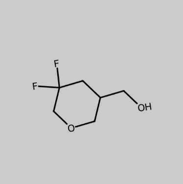 OCC1COCC(F)(F)C1